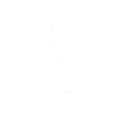 CN(C)CCCCCCCCCCCCCCCO